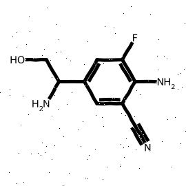 N#Cc1cc(C(N)CO)cc(F)c1N